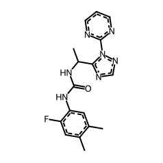 Cc1cc(F)c(NC(=O)NC(C)c2ncnn2-c2ncccn2)cc1C